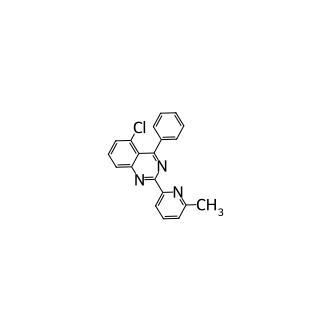 Cc1cccc(-c2nc(-c3ccccc3)c3c(Cl)cccc3n2)n1